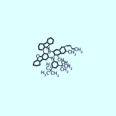 C=C/C=C\c1cc2cc3c(c(C)c2cc1C)N(c1cc(C(C)(C)C)cc(C(C)(C)C)c1)c1cc2c(oc4ccccc42)c2c1B3n1c3ccccc3c3cccc-2c31